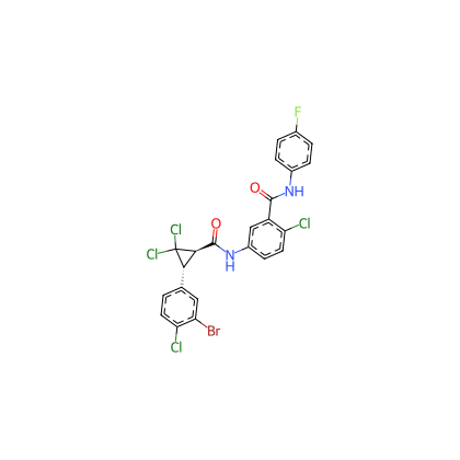 O=C(Nc1ccc(F)cc1)c1cc(NC(=O)[C@H]2[C@H](c3ccc(Cl)c(Br)c3)C2(Cl)Cl)ccc1Cl